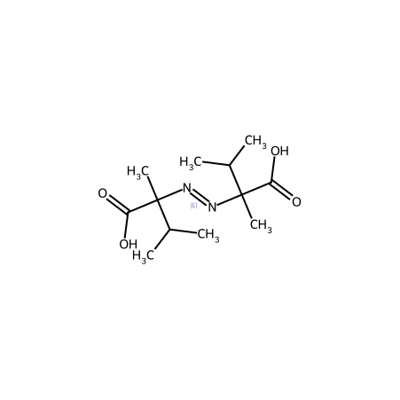 CC(C)C(C)(/N=N/C(C)(C(=O)O)C(C)C)C(=O)O